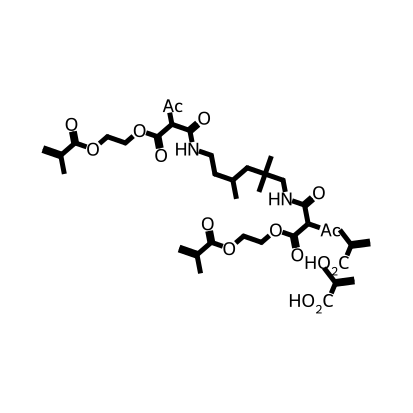 C=C(C)C(=O)O.C=C(C)C(=O)O.C=C(C)C(=O)OCCOC(=O)C(C(C)=O)C(=O)NCCC(C)CC(C)(C)CNC(=O)C(C(C)=O)C(=O)OCCOC(=O)C(=C)C